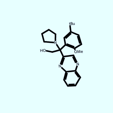 COc1ccc(C(C)(C)C)cc1C(CO)(c1cnc2ccccc2n1)N1CCCC1